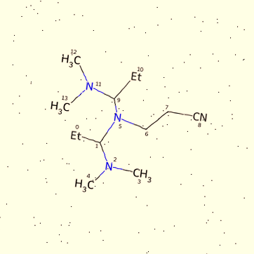 CCC(N(C)C)N(CCC#N)C(CC)N(C)C